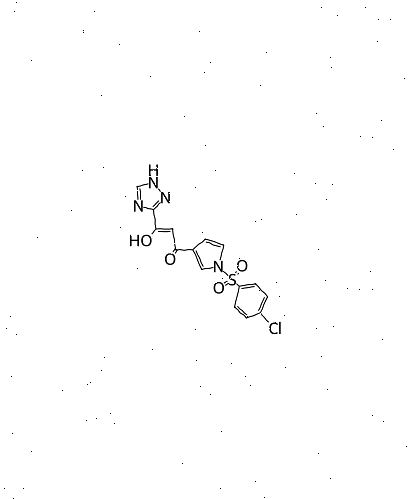 O=C(C=C(O)c1nc[nH]n1)c1ccn(S(=O)(=O)c2ccc(Cl)cc2)c1